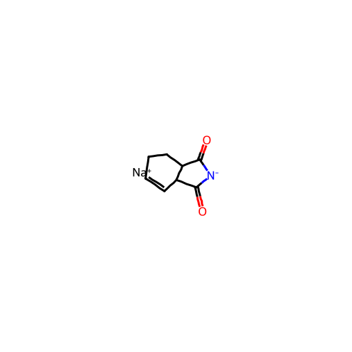 O=C1[N-]C(=O)C2CCC=CC12.[Na+]